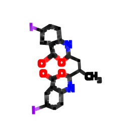 CC(Cc1nc2ccc(I)cc2c(=O)o1)c1nc2ccc(I)cc2c(=O)o1